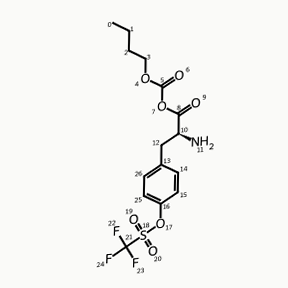 CCCCOC(=O)OC(=O)[C@@H](N)Cc1ccc(OS(=O)(=O)C(F)(F)F)cc1